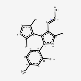 Cc1coc(C)c1-c1c(/C=N/O)c(C)nn1-c1ccc(O)cc1F